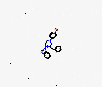 Brc1ccc(N2CCN(n3cnc4ccccc43)C(Cc3ccccc3)C2)cc1